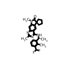 Cc1nc(N[C@H](C)c2cccc(C(F)F)c2C)c2cc3c(cc2n1)N(C)C(=O)C31CCCC1